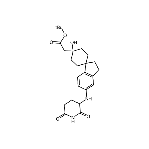 CC(C)(C)OC(=O)CC1(O)CCC2(CCc3cc(NC4CCC(=O)NC4=O)ccc32)CC1